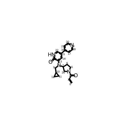 C=CC(=O)N1CCC(N(CC2CC2)c2cc(-c3ccncc3)c[nH]c2=O)C1